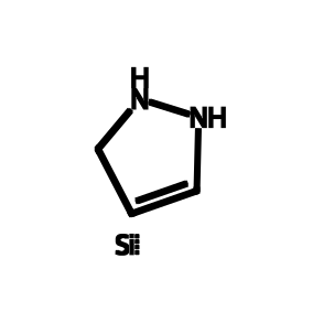 C1=CNNC1.[Si]